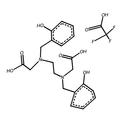 O=C(O)C(F)(F)F.O=C(O)CN(CCN(CC(=O)O)Cc1ccccc1O)Cc1ccccc1O